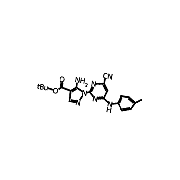 Cc1ccc(Nc2cc(C#N)nc(-n3ncc(C(=O)OC(C)(C)C)c3N)n2)cc1